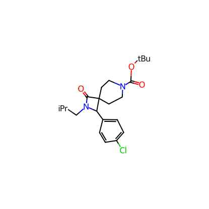 CC(C)CN1C(=O)C2(CCN(C(=O)OC(C)(C)C)CC2)C1c1ccc(Cl)cc1